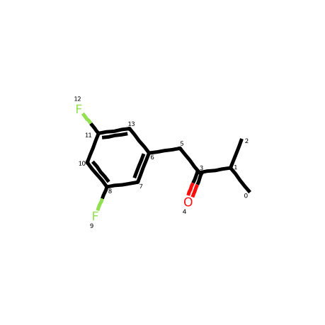 CC(C)C(=O)Cc1cc(F)cc(F)c1